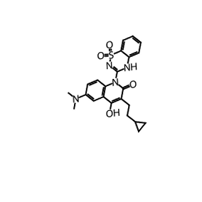 CN(C)c1ccc2c(c1)c(O)c(CCC1CC1)c(=O)n2C1=NS(=O)(=O)c2ccccc2N1